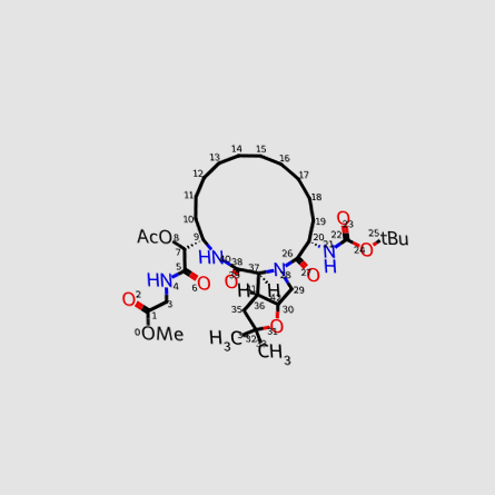 COC(=O)CNC(=O)C(OC(C)=O)[C@@H]1CCCCCCCCCC[C@H](NC(=O)OC(C)(C)C)C(=O)N2CC3OC(C)(C)C[C@@H]3[C@H]2C(=O)N1